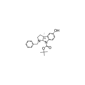 CC(C)(C)OC(=O)N1c2ccc(O)cc2[C@]2(C)CCN(Cc3ccccc3)C12